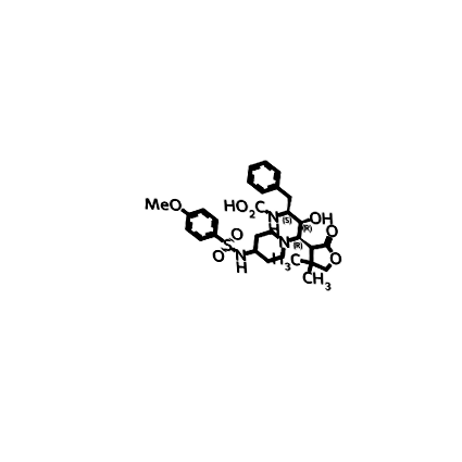 COc1ccc(S(=O)(=O)NC2CCN([C@H](C3C(=O)OCC3(C)C)[C@H](O)[C@H](Cc3ccccc3)NC(=O)O)CC2)cc1